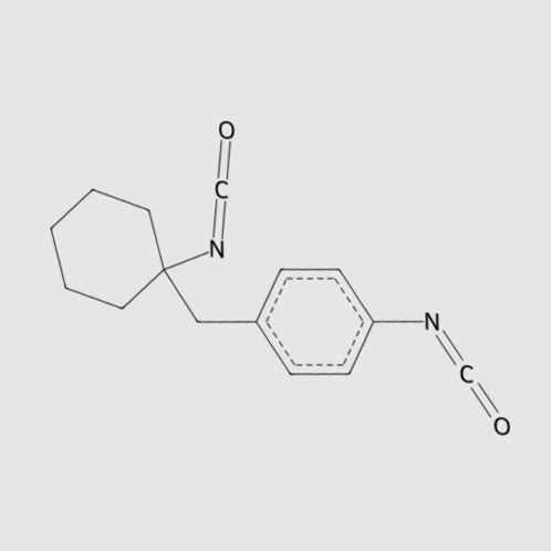 O=C=Nc1ccc(CC2(N=C=O)CCCCC2)cc1